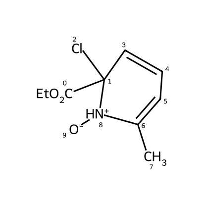 CCOC(=O)C1(Cl)C=CC=C(C)[NH+]1[O-]